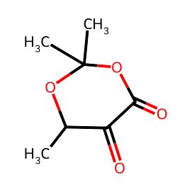 CC1OC(C)(C)OC(=O)C1=O